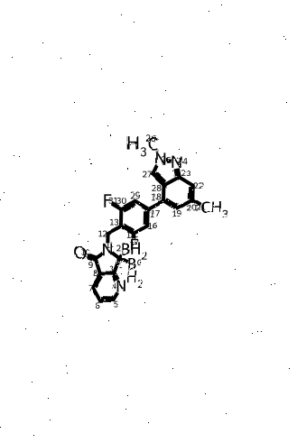 BC1(B)c2ncccc2C(=O)N1Cc1c(F)cc(-c2cc(C)cc3nn(C)cc23)cc1F